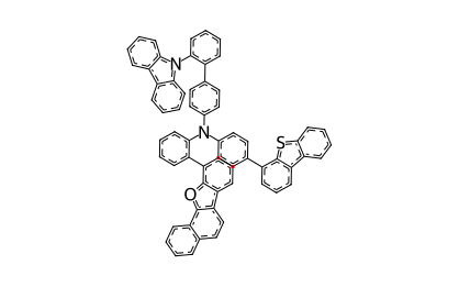 c1ccc(N(c2ccc(-c3ccccc3-n3c4ccccc4c4ccccc43)cc2)c2ccc(-c3cccc4c3sc3ccccc34)cc2)c(-c2cccc3c2oc2c4ccccc4ccc32)c1